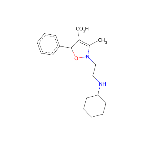 CC1=C(C(=O)O)C(c2ccccc2)ON1CCNC1CCCCC1